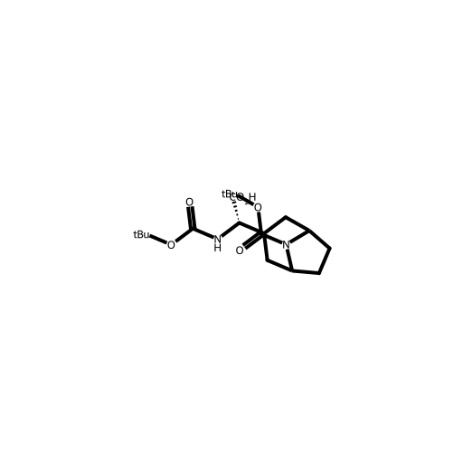 CC(C)(C)OC(=O)N[C@H](C(=O)O)C1CC2CCC(C1)N2C(=O)OC(C)(C)C